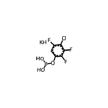 OB(O)Oc1cc(F)c(Cl)c(F)c1F.[KH]